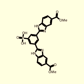 COC(=O)c1ccc2[nH]c(-c3cc(-c4nc5cc(C(=O)OC)ccc5[nH]4)cc(P(=O)(O)O)c3)nc2c1